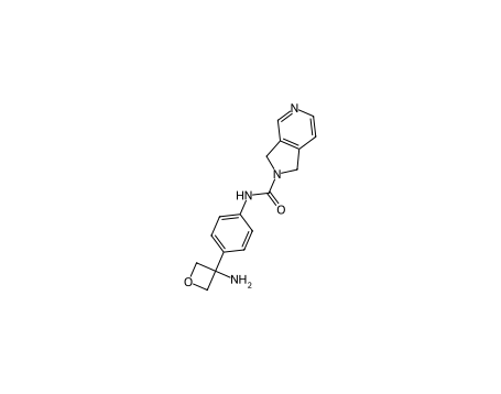 NC1(c2ccc(NC(=O)N3Cc4ccncc4C3)cc2)COC1